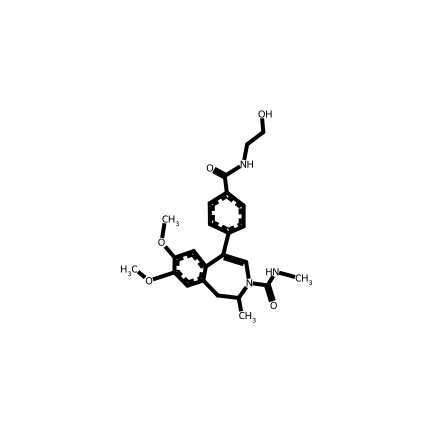 CNC(=O)N1C=C(c2ccc(C(=O)NCCO)cc2)c2cc(OC)c(OC)cc2CC1C